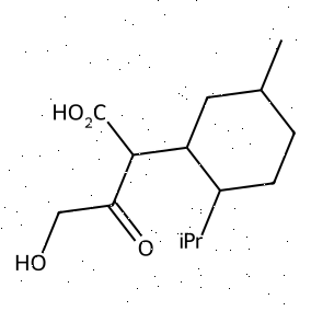 CC1CCC(C(C)C)C(C(C(=O)O)C(=O)CO)C1